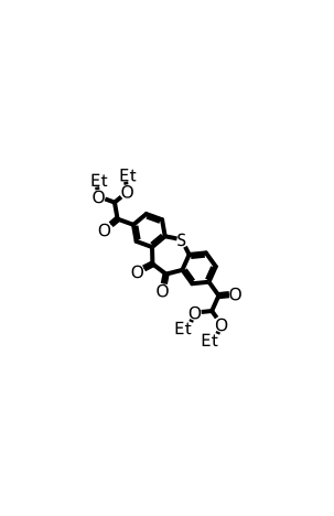 CCOC(OCC)C(=O)c1ccc2sc3ccc(C(=O)C(OCC)OCC)cc3c(=O)c(=O)c2c1